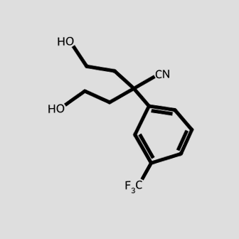 N#CC(CCO)(CCO)c1cccc(C(F)(F)F)c1